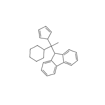 CC(C1C=CC=C1)(C1CCCCC1)C1c2ccccc2-c2ccccc21